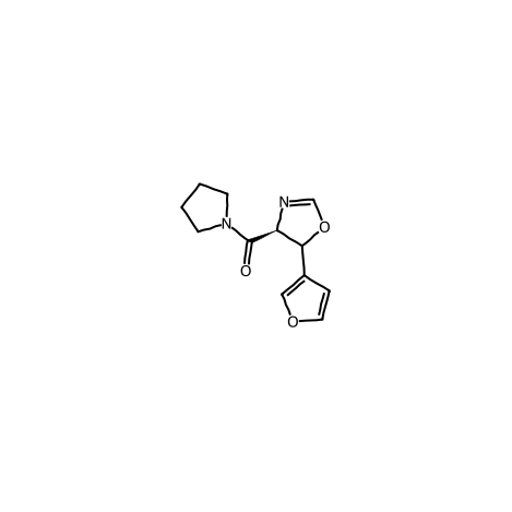 O=C([C@H]1N=COC1c1ccoc1)N1CCCC1